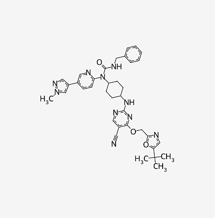 Cn1cc(-c2ccc(N(C(=O)NCc3ccccc3)C3CCC(Nc4ncc(C#N)c(OCc5ncc(C(C)(C)C)o5)n4)CC3)nc2)cn1